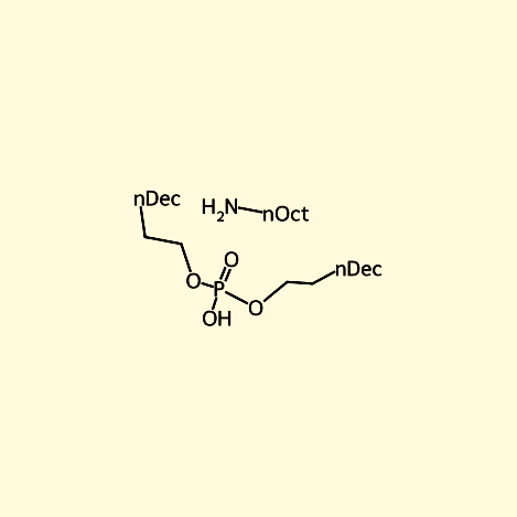 CCCCCCCCCCCCOP(=O)(O)OCCCCCCCCCCCC.CCCCCCCCN